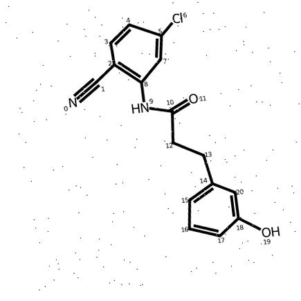 N#Cc1ccc(Cl)cc1NC(=O)CCc1cccc(O)c1